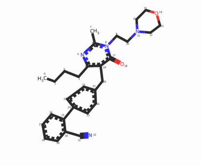 CCCCc1nc(C)n(CCN2CCOCC2)c(=O)c1Cc1ccc(-c2ccccc2C#N)cc1